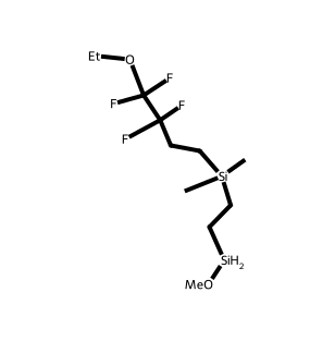 CCOC(F)(F)C(F)(F)CC[Si](C)(C)CC[SiH2]OC